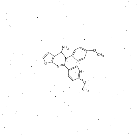 COc1ccc(N2C(c3ccc(OC)nc3)=Nc3occc3C2N)cc1